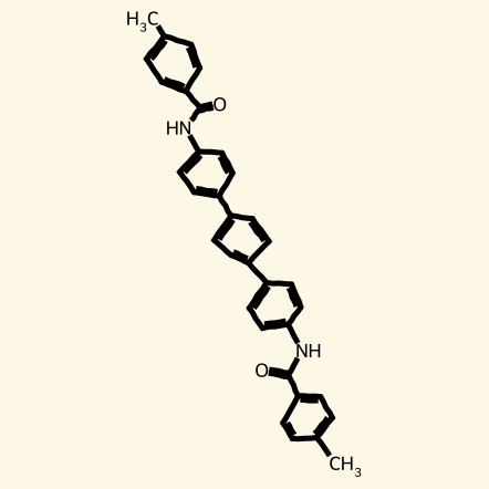 Cc1ccc(C(=O)Nc2ccc(-c3ccc(-c4ccc(NC(=O)c5ccc(C)cc5)cc4)cc3)cc2)cc1